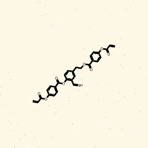 C=CC(=O)Oc1ccc(C(=O)OCCc2ccc(OC(=O)c3ccc(OC(=O)C=C)cc3)c(C=N)c2)cc1